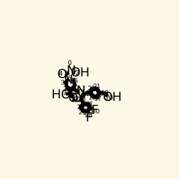 CN(O)C(=O)N1CCC(C(=O)O)(c2nc(-c3ccc(CO)cc3)c(-c3ccc(F)c(F)c3)o2)CC1